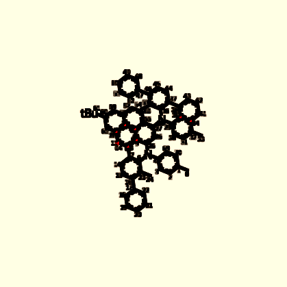 Cc1ccc(N(c2c(-c3ccccc3)ccc(-c3ccccc3)c2C)c2cc(N(c3ccc(C)cc3)c3c(-c4ccccc4)ccc(-c4ccccc4)c3C)c3ccc4cc(C(C)(C)C)cc5ccc2c3c54)cc1